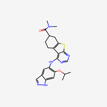 CC(C)Oc1cc2[nH]ncc2cc1Nc1ncnc2sc3c(c12)CCC(C(=O)N(C)C)C3